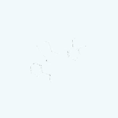 O=Cc1c(O)cccc1OCC1CSCCN1C(=O)c1ccccc1C(=O)O